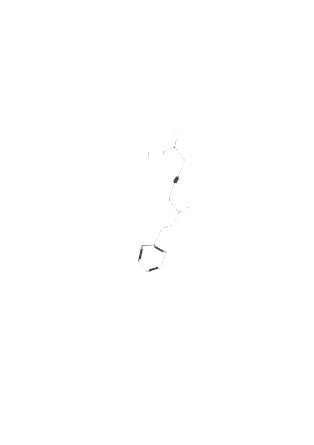 CCC(O)CC#CCC(C)OCc1ccccc1